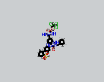 CS(=O)(=O)c1ccccc1-c1ccc(NC(=O)N(Cc2ccccc2)Nc2cccc(C(=N)NC(=O)OCC(Cl)(Cl)Cl)c2)cc1